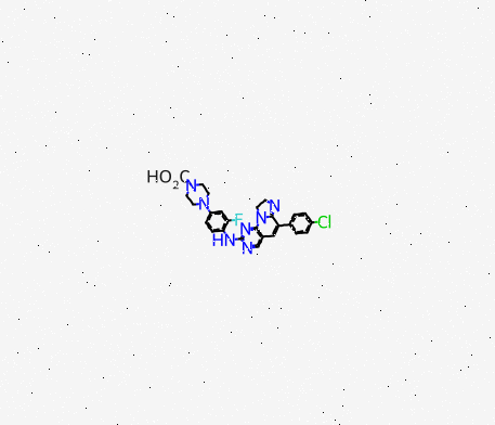 O=C(O)N1CCN(c2ccc(Nc3ncc4c(n3)N3CCN=C3C(c3ccc(Cl)cc3)=C4)c(F)c2)CC1